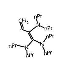 C=[C]C(=C(N(CCC)CCC)N(CCC)CCC)N(CCC)CCC